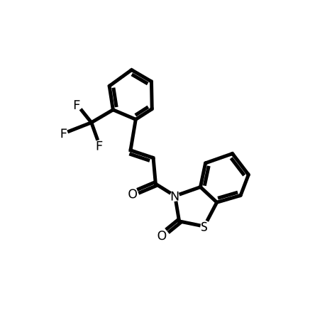 O=C(C=Cc1ccccc1C(F)(F)F)n1c(=O)sc2ccccc21